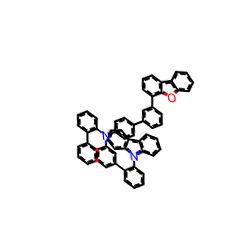 c1ccc(-c2ccccc2N(c2ccc(-c3cccc(-c4cccc5c4oc4ccccc45)c3)cc2)c2cccc(-c3ccccc3-n3c4ccccc4c4ccccc43)c2)cc1